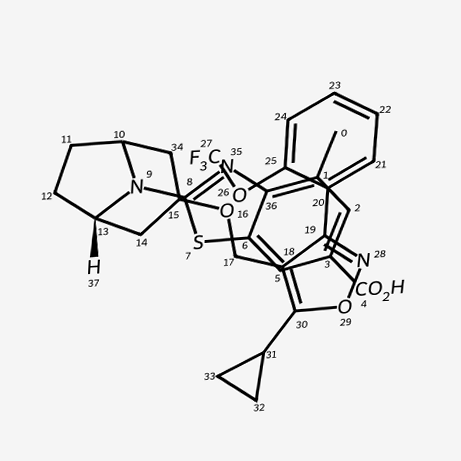 Cc1cc(C(=O)O)cc2sc(N3C4CC[C@H]3CC(OCc3c(-c5ccccc5OC(F)(F)F)noc3C3CC3)C4)nc12